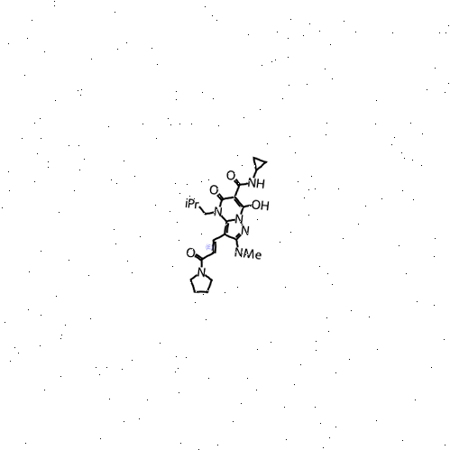 CNc1nn2c(O)c(C(=O)NC3CC3)c(=O)n(CC(C)C)c2c1/C=C/C(=O)N1CCCC1